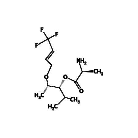 CC(C)[C@@H](OC(=O)[C@H](C)N)[C@H](C)OC/C=C/C(F)(F)F